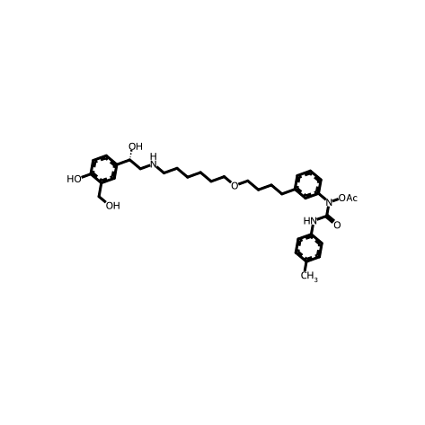 CC(=O)ON(C(=O)Nc1ccc(C)cc1)c1cccc(CCCCOCCCCCCNC[C@@H](O)c2ccc(O)c(CO)c2)c1